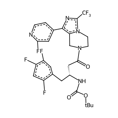 CC(C)(C)OC(=O)N[C@@H](CC(=O)N1CCn2c(C(F)(F)F)nc(-c3ccnc(F)c3)c2C1)Cc1cc(F)c(F)cc1F